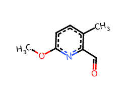 COc1ccc(C)c(C=O)n1